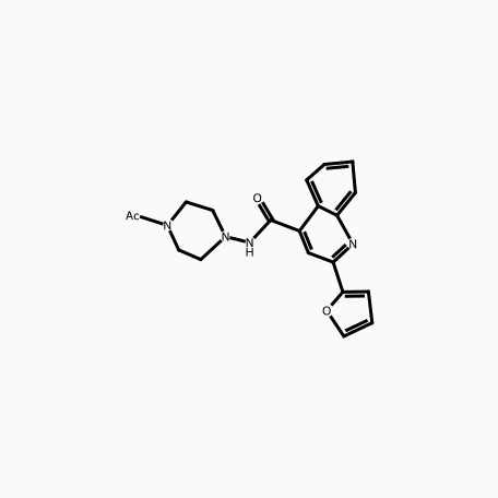 CC(=O)N1CCN(NC(=O)c2cc(-c3ccco3)nc3ccccc23)CC1